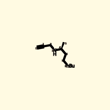 C#CCN[C@@H](C)CCCCCC